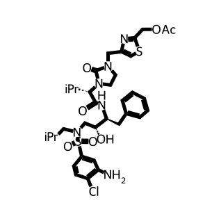 CC(=O)OCc1nc(CN2CCN([C@H](C(=O)N[C@@H](Cc3ccccc3)[C@H](O)CN(CC(C)C)S(=O)(=O)c3ccc(Cl)c(N)c3)C(C)C)C2=O)cs1